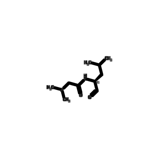 CC(C)C[C@@H](C=O)NC(=O)CN(C)C